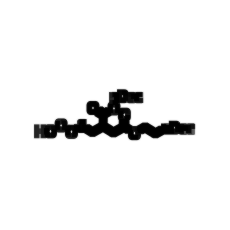 CCCCCCCCCCCCOC(=O)CC(CSOOO)C(=O)OCCCCCCCCCC